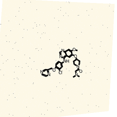 COc1cc2ncnc(Nc3ccc(OCc4cnccn4)c(Cl)c3)c2cc1OC1CCN(C(=O)CN(C)C)CC1